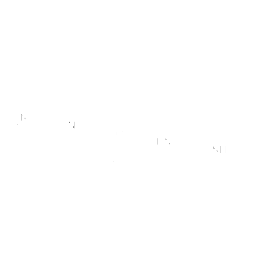 CCCCC(N)Nc1cccc2c1C(=O)c1c(NC(N)CCCC)cccc1C2=O